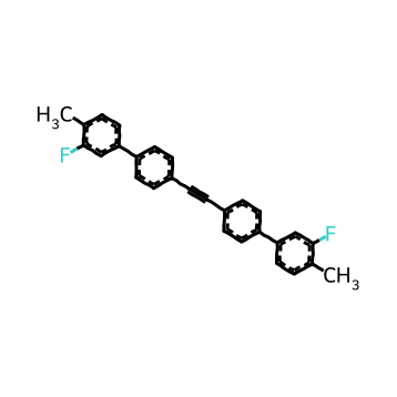 Cc1ccc(-c2ccc(C#Cc3ccc(-c4ccc(C)c(F)c4)cc3)cc2)cc1F